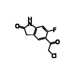 O=C1Cc2cc(C(=O)CCl)c(F)cc2N1